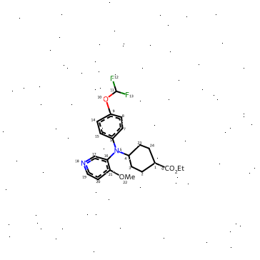 CCOC(=O)C1CCC(N(c2ccc(OC(F)F)cc2)c2cnccc2OC)CC1